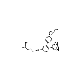 C=CCOc1ccc(-c2cc(C#CCCCC(C)F)ccc2-c2cncnc2)cc1